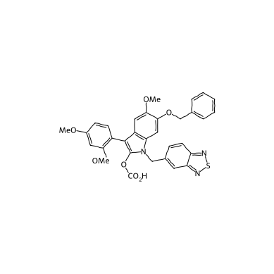 COc1ccc(-c2c(OC(=O)O)n(Cc3ccc4nsnc4c3)c3cc(OCc4ccccc4)c(OC)cc23)c(OC)c1